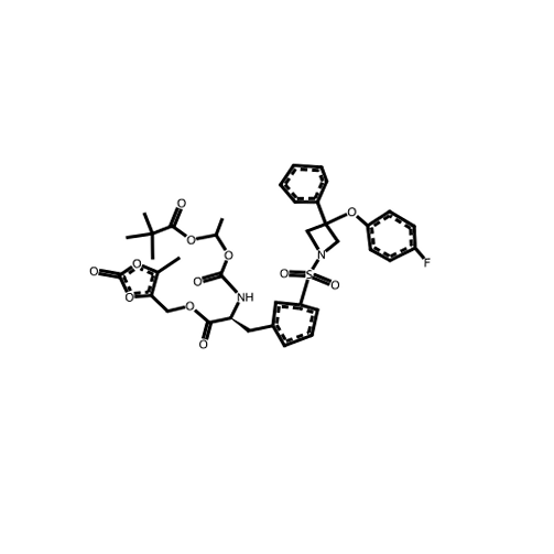 Cc1oc(=O)oc1COC(=O)[C@H](Cc1cccc(S(=O)(=O)N2CC(Oc3ccc(F)cc3)(c3ccccc3)C2)c1)NC(=O)OC(C)OC(=O)C(C)(C)C